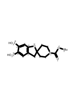 CC(C)(C)OC(=O)N1CCC2(CC1)Cc1cc(C(=O)O)c(C(=O)O)cc1O2